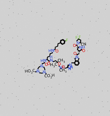 CN(COC(C)(C)CCNC(=O)C(CCCCNC(=O)CCCc1ccc(F)cc1)NC(=O)CN1CCN(CC(=O)O)CCN(CC(=O)O)CC1)OCc1cn(Cc2cccc3c2CN(C(=O)C[C@@H]2C[C@@H](C(=O)N4CC(F)(F)C[C@H]4C#N)NC2=O)C3)nn1